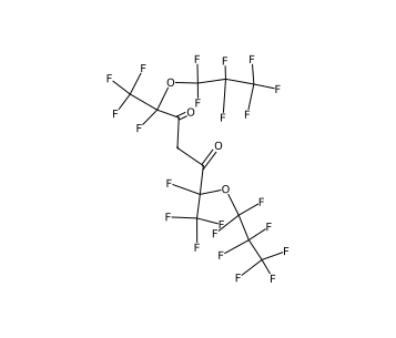 O=C(CC(=O)C(F)(OC(F)(F)C(F)(F)C(F)(F)F)C(F)(F)F)C(F)(OC(F)(F)C(F)(F)C(F)(F)F)C(F)(F)F